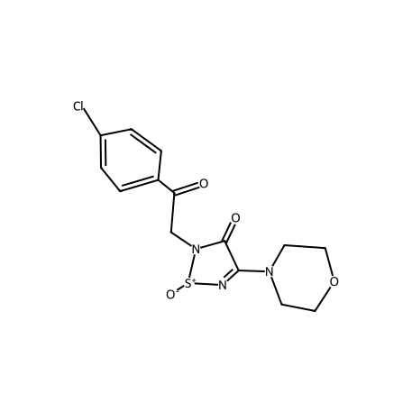 O=C(Cn1c(=O)c(N2CCOCC2)n[s+]1[O-])c1ccc(Cl)cc1